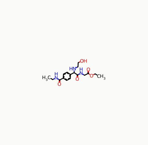 CCNC(=O)c1ccc(C(NCCO)C(=O)NCC(=O)OCC)cc1